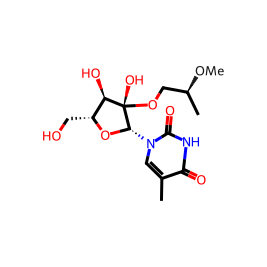 CO[C@@H](C)CO[C@@]1(O)[C@H](O)[C@@H](CO)O[C@H]1n1cc(C)c(=O)[nH]c1=O